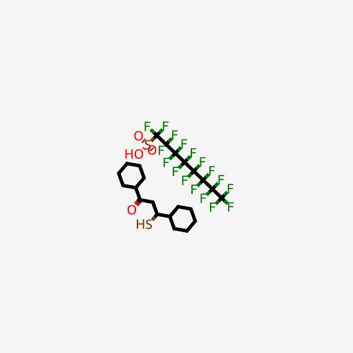 O=C(CC(S)C1CCCCC1)C1CCCCC1.O=S(=O)(O)C(F)(F)C(F)(F)C(F)(F)C(F)(F)C(F)(F)C(F)(F)C(F)(F)C(F)(F)F